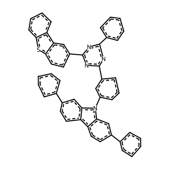 c1ccc(-c2ccc3c4ccc(-c5ccccc5)cc4n(-c4cccc(-c5nc(-c6ccccc6)nc(-c6ccc7sc8ccccc8c7c6)n5)c4)c3c2)cc1